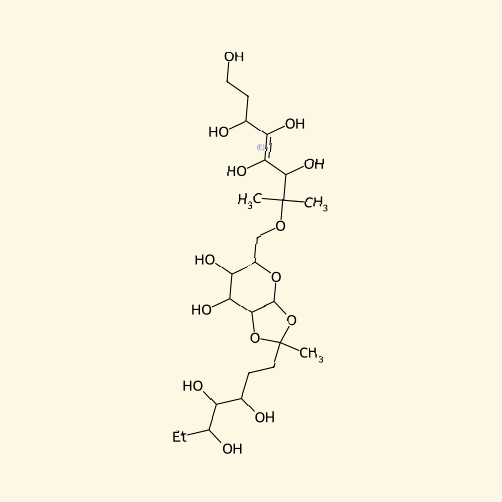 CCC(O)C(O)C(O)CCC1(C)OC2OC(COC(C)(C)C(O)/C(O)=C(\O)C(O)CCO)C(O)C(O)C2O1